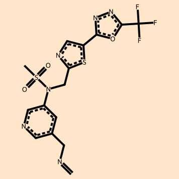 C=NCc1cncc(N(Cc2ncc(-c3nnc(C(F)(F)F)o3)s2)S(C)(=O)=O)c1